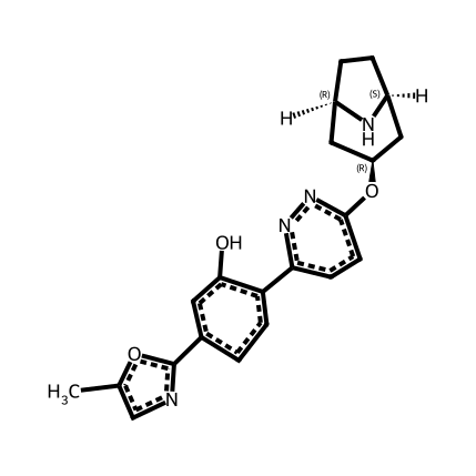 Cc1cnc(-c2ccc(-c3ccc(O[C@H]4C[C@H]5CC[C@@H](C4)N5)nn3)c(O)c2)o1